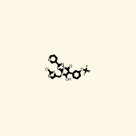 O=c1c(-c2cccc(OC(F)(F)F)c2)c(O)[n+](Cc2cnc(Cl)s2)c2sc(-c3cccnc3)nn12